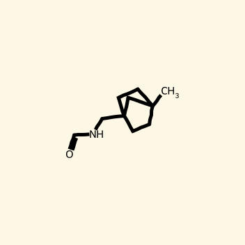 CC12CCC(CNC=O)(CC1)C2